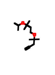 C#CCC(C)(C)OCCC(C)(C)OC(C)C